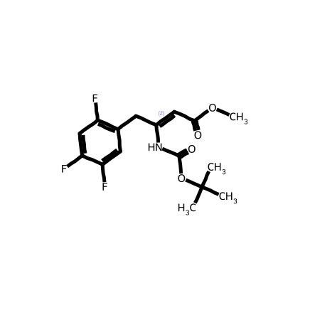 COC(=O)/C=C(/Cc1cc(F)c(F)cc1F)NC(=O)OC(C)(C)C